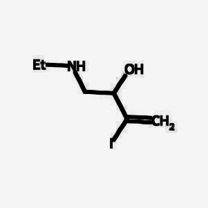 C=C(I)C(O)CNCC